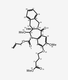 C=CCOC(=O)N1c2cc(OCCCC(=O)OC)c(OC)cc2C(=O)N2Cc3ccccc3C[C@H]2C1OC